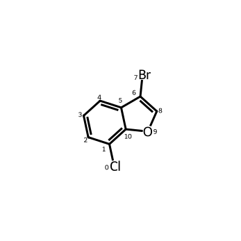 Clc1cccc2c(Br)coc12